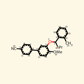 CCCC(Oc1cc(-c2ccc(C#N)cc2)ccc1OC)c1ccccc1C